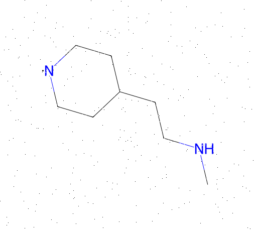 CNCCC1CC[N]CC1